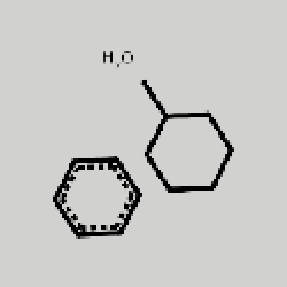 CC1CCCCC1.O.c1ccccc1